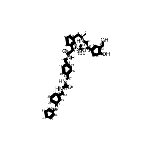 C[C@H](Cc1cccc(CC(=O)NCc2ccc(CNC(=O)NCc3cccc(Oc4ccccc4)c3)cc2)c1)NC[C@H](O[Si](C)(C)C(C)(C)C)c1ccc(O)c(CO)c1